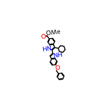 COC(=O)c1ccc2c(C3CCCCC3)c(-c3cc4ccc(OCc5ccccc5)cc4[nH]3)[nH]c2c1